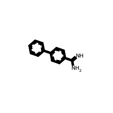 N=C(N)c1c[c]c(-c2ccccc2)cc1